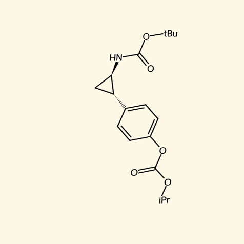 CC(C)OC(=O)Oc1ccc([C@@H]2C[C@H]2NC(=O)OC(C)(C)C)cc1